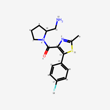 Cc1nc(C(=O)N2CCCC2CN)c(-c2ccc(F)cc2)s1